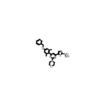 CCCNc1ncc(-c2cc(-c3c(C)cc(OCc4ccccc4)cc3C)nc(N3CCOCC3)n2)s1